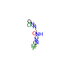 O=C(CCCN1CCN(c2ccccc2Cl)CC1)NC1CCN(c2ccc(C(F)(F)F)cn2)CC1